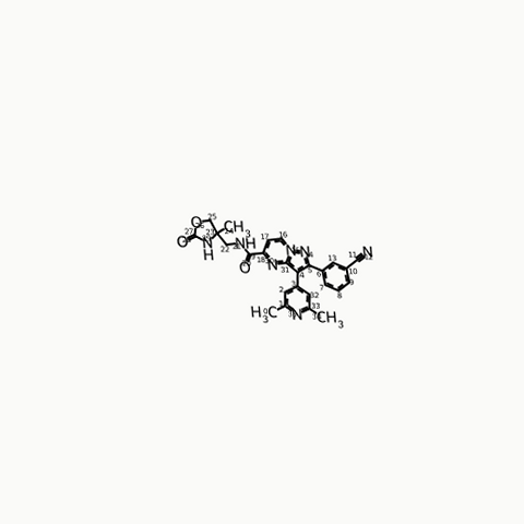 Cc1cc(-c2c(-c3cccc(C#N)c3)nn3ccc(C(=O)NCC4(C)COC(=O)N4)nc23)cc(C)n1